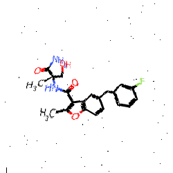 Cc1oc2ccc(Cc3cccc(F)c3)cc2c1C(=O)N[C@@](C)(CO)C(N)=O